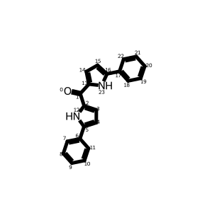 O=C(c1ccc(-c2ccccc2)[nH]1)c1ccc(-c2ccccc2)[nH]1